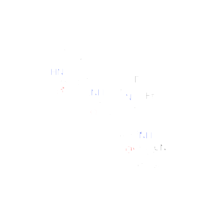 CCC(CC)n1c(C)c(C(=O)NCc2c(C)cc(C)[nH]c2=O)c2ccc(NC(=O)C3(C#N)CC3)cc21